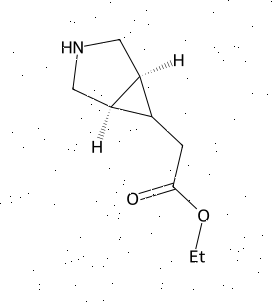 CCOC(=O)CC1[C@H]2CNC[C@@H]12